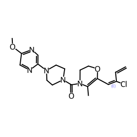 C=C/C(Cl)=C\C1=C(C)N(C(=O)N2CCN(c3cnc(OC)cn3)CC2)CCO1